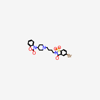 O=C1c2cc(Br)ccc2S(=O)(=O)N1CCCCN1CCC(n2c(=O)oc3ccccc32)CC1